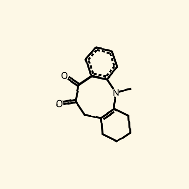 CN1C2=C(CCCC2)CC(=O)C(=O)c2ccccc21